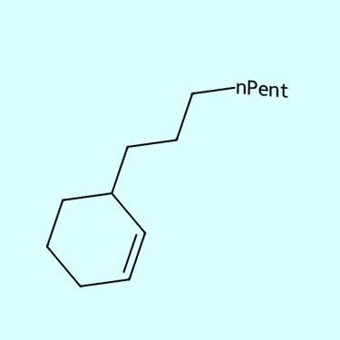 [CH2]CCCCCCCC1C=CCCC1